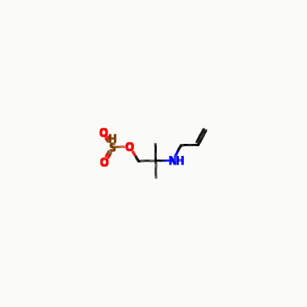 C=CCNC(C)(C)CO[SH](=O)=O